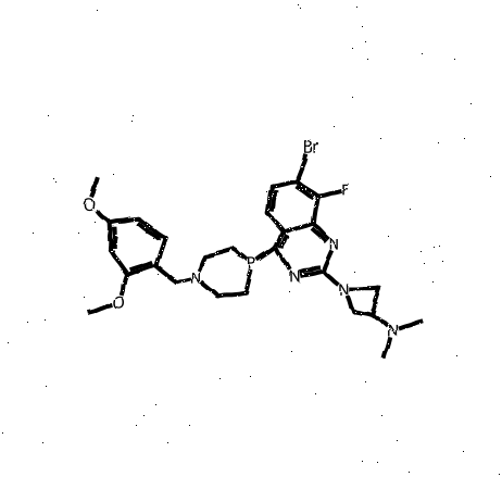 COc1ccc(CN2CCP(c3nc(N4CC(N(C)C)C4)nc4c(F)c(Br)ccc34)CC2)c(OC)c1